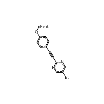 CCCCCOc1ccc(C#Cc2ncc(CC)cn2)cc1